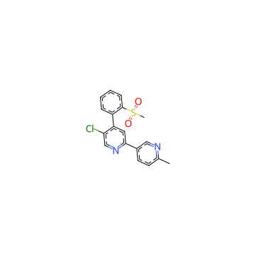 Cc1ccc(-c2cc(-c3ccccc3S(C)(=O)=O)c(Cl)cn2)cn1